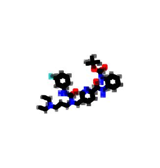 CCN(CC)CCCN(Cc1ccc(C(=O)Nc2ccccc2NC(=O)OC(C)(C)C)nc1)C(=O)Nc1cccc(F)c1